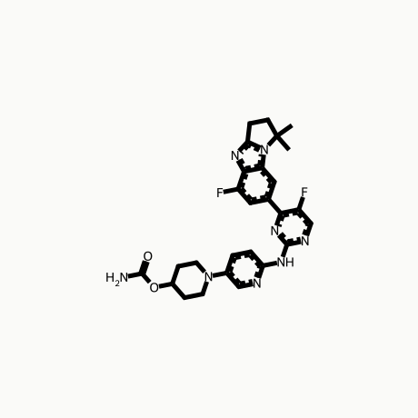 CC1(C)CCc2nc3c(F)cc(-c4nc(Nc5ccc(N6CCC(OC(N)=O)CC6)cn5)ncc4F)cc3n21